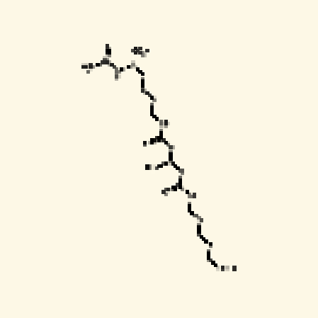 NC(=O)N[C@@H](CCCCNC(=O)CC(N)CC(=O)NCCCCCC(=O)O)C(=O)O